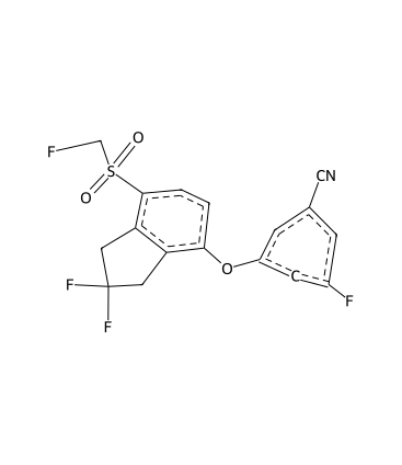 N#Cc1cc(F)cc(Oc2ccc(S(=O)(=O)CF)c3c2CC(F)(F)C3)c1